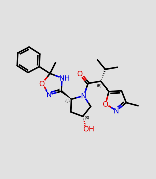 Cc1cc([C@H](C(=O)N2C[C@H](O)C[C@H]2C2=NOC(C)(c3ccccc3)N2)C(C)C)on1